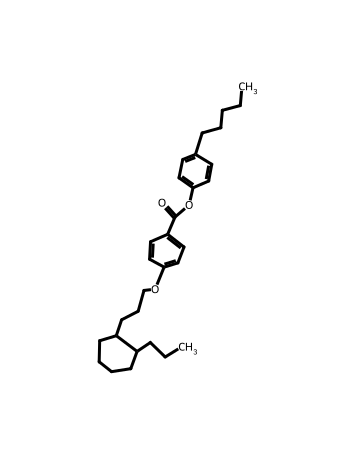 CCCCCc1ccc(OC(=O)c2ccc(OCCCC3CCCCC3CCC)cc2)cc1